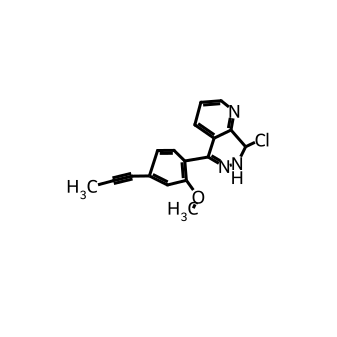 CC#Cc1ccc(C2=NNC(Cl)c3ncccc32)c(OC)c1